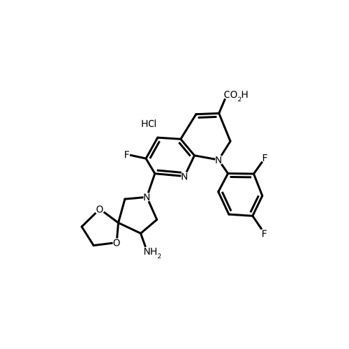 Cl.NC1CN(c2nc3c(cc2F)C=C(C(=O)O)CN3c2ccc(F)cc2F)CC12OCCO2